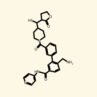 NCc1ccc(C(=O)Nc2ccncc2)cc1-c1cccc(C(=O)N2CCC(C(S)C3CCOC3=O)CC2)c1